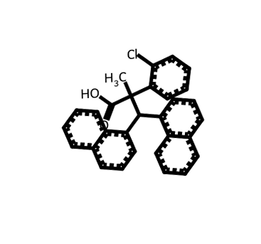 CC(C(=O)O)(c1ccccc1Cl)C(c1cccc2ccccc12)c1cccc2ccccc12